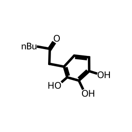 CCCCC(=O)Cc1ccc(O)c(O)c1O